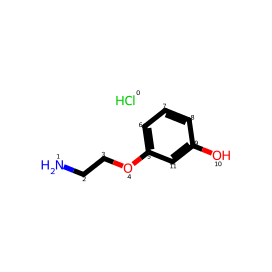 Cl.NCCOc1cccc(O)c1